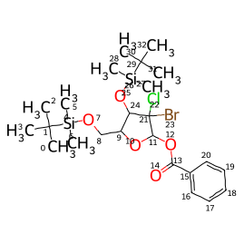 CC(C)(C)[Si](C)(C)OCC1OC(OC(=O)c2ccccc2)C(Cl)(Br)C1O[Si](C)(C)C(C)(C)C